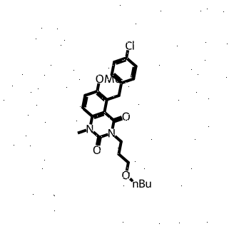 CCCCOCCCn1c(=O)c2c(Cc3ccc(Cl)cc3)c(OC)ccc2n(C)c1=O